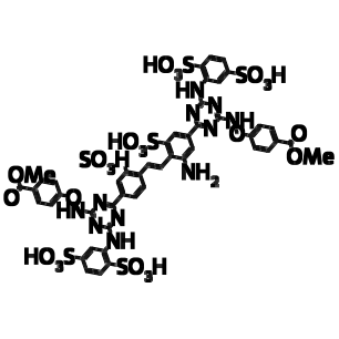 COC(=O)c1ccc(ONc2nc(Nc3cc(S(=O)(=O)O)ccc3S(=O)(=O)O)nc(-c3ccc(C=Cc4c(N)cc(-c5nc(NOc6ccc(C(=O)OC)cc6)nc(Nc6cc(S(=O)(=O)O)ccc6S(=O)(=O)O)n5)cc4S(=O)(=O)O)c(S(=O)(=O)O)c3)n2)cc1